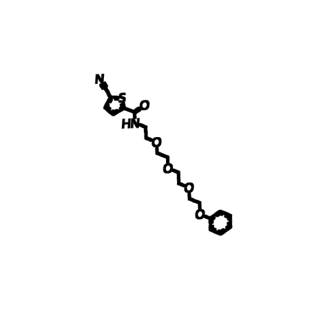 N#Cc1ccc(C(=O)NCCOCCOCCOCCOc2ccccc2)s1